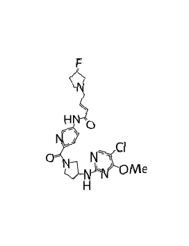 COc1nc(NC2CCN(C(=O)c3ccc(NC(=O)/C=C/CN4CCC(F)C4)cn3)C2)ncc1Cl